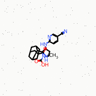 CNC(=O)C12CC3CC(C1)C(C1C(Nc4ccc(C#N)cn4)CCN1C(=O)O)C(C3)C2